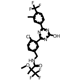 COC(C)(C(=O)NCc1ccc(Cl)c(-c2nc(O)nc(-c3ccc(C(F)(F)F)c(C)c3)n2)c1)C(F)(F)F